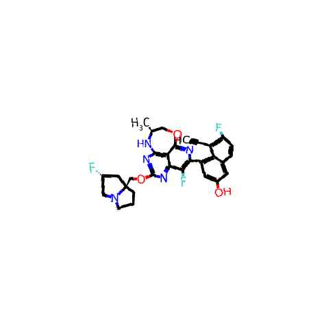 C#Cc1c(F)ccc2cc(O)cc(-c3nc4c5c(nc(OC[C@@]67CCCN6C[C@H](F)C7)nc5c3F)N[C@@H](C)CO4)c12